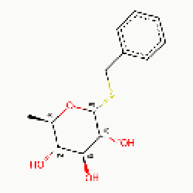 C[C@H]1O[C@H](SCc2ccccc2)[C@H](O)[C@@H](O)[C@@H]1O